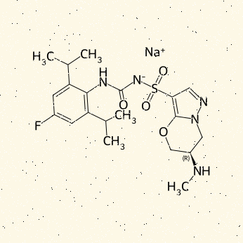 CN[C@H]1COc2c(S(=O)(=O)[N-]C(=O)Nc3c(C(C)C)cc(F)cc3C(C)C)cnn2C1.[Na+]